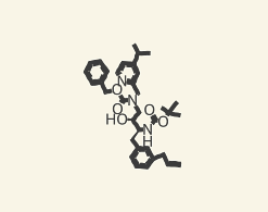 C=CCc1cccc(C[C@H](NC(=O)OC(C)(C)C)[C@@H](O)CN(Cc2cc(C(C)C)ccn2)C(=O)OCc2ccccc2)c1